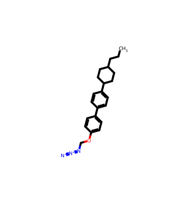 CCCC1CCC(c2ccc(-c3ccc(OCN=[N+]=[N-])cc3)cc2)CC1